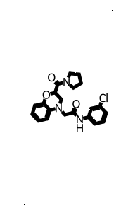 O=C(CN1CC(C(=O)N2CCCC2)Oc2ccccc21)Nc1cccc(Cl)c1